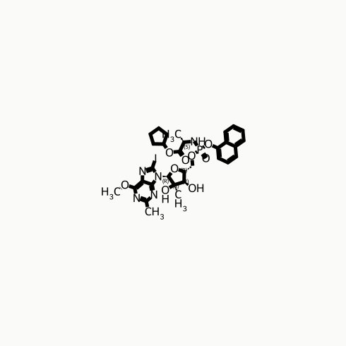 COc1nc(C)nc2c1nc(I)n2[C@@H]1O[C@H](COP(=O)(N[C@@H](C)C(=O)OC2CCCC2)Oc2cccc3ccccc23)[C@@H](O)[C@@]1(C)O